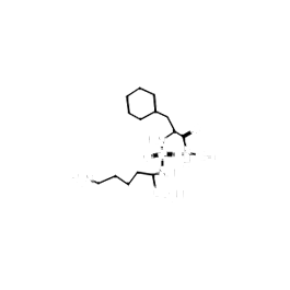 CC(C)(C)NC(=O)C(CC1CCCCC1)NS(=O)(=O)NC(CCCCN)C(=O)O